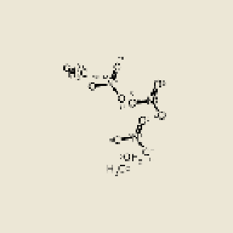 O.O.O.O=[N+]([O-])[O-].O=[N+]([O-])[O-].O=[N+]([O-])[O-].[Ga+3]